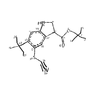 CC(C)(C)OC(=O)C1CNc2cc(C(C)(C)C)c(SC#N)cc21